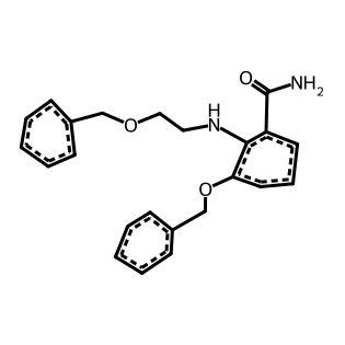 NC(=O)c1cccc(OCc2ccccc2)c1NCCOCc1ccccc1